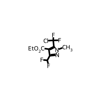 CCOC(=O)c1c(C(F)F)nn(C)c1C(F)(F)Cl